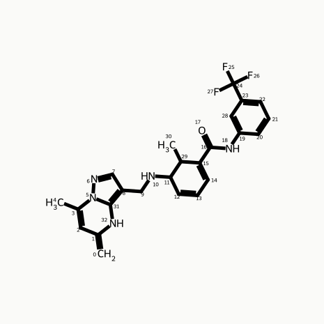 C=C1C=C(C)n2ncc(CNC3C=CC=C(C(=O)Nc4cccc(C(F)(F)F)c4)C3C)c2N1